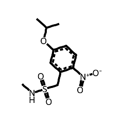 CNS(=O)(=O)Cc1cc(OC(C)C)ccc1[N+](=O)[O-]